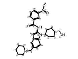 O=C(Nc1nc2cc(CN3CCCCC3)ccc2n1[C@H]1CC[C@@H](CO)CC1)c1cccc([N+](=O)[O-])c1